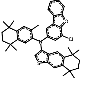 Cc1cc2c(cc1N(c1cc(Cl)c3oc4ccccc4c3c1)c1csc3cc4c(cc13)C(C)(C)CCC4(C)C)C(C)(C)CCC2(C)C